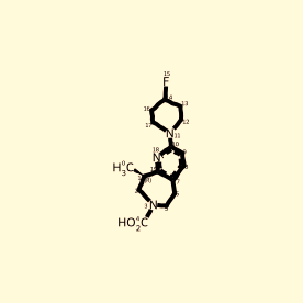 C[C@@H]1CN(C(=O)O)CCc2ccc(N3CCC(F)CC3)nc21